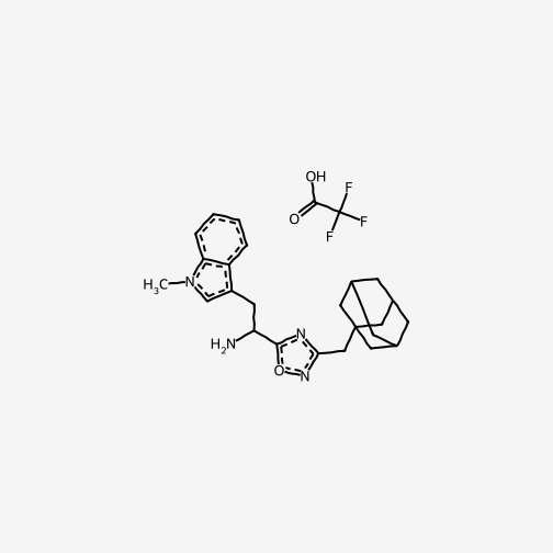 Cn1cc(CC(N)c2nc(CC34CC5CC(CC(C5)C3)C4)no2)c2ccccc21.O=C(O)C(F)(F)F